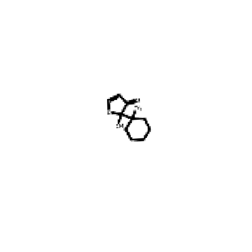 CC1(C2(O)CCCCC2)OC=CC1=O